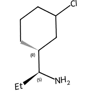 CC[C@H](N)[C@@H]1CCCC(Cl)C1